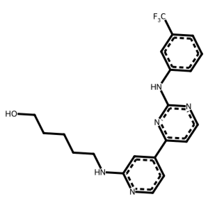 OCCCCCNc1cc(-c2ccnc(Nc3cccc(C(F)(F)F)c3)n2)ccn1